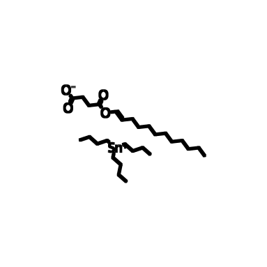 CCCCCCCCCC/C=C/OC(=O)CCC(=O)[O-].CCC[CH2][Sn+]([CH2]CCC)[CH2]CCC